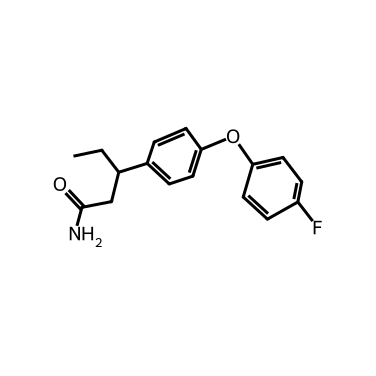 CCC(CC(N)=O)c1ccc(Oc2ccc(F)cc2)cc1